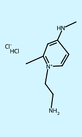 CNc1cc[n+](CCN)c(C)c1.Cl.[Cl-]